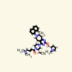 Cc1cccc2cccc(N3CCc4nc(OC[C@@H]5CCCN5C)nc(N5CCN(C(=O)/C=C/CN(C)C)[C@@H](CC#N)C5)c4CC3)c12